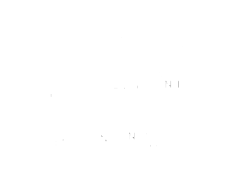 O=C(c1ccc(NSc2cccc3c2CC2CC2C=C3)c(OC(F)(F)F)c1)N1CCN(Cc2ccc(Cl)cc2Cl)CC1